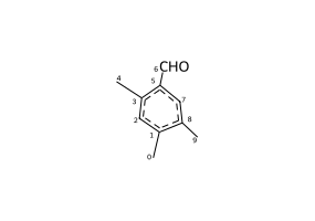 Cc1cc(C)c(C=O)cc1C